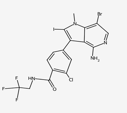 Cn1c(I)c(-c2ccc(C(=O)NCC(F)(F)F)c(Cl)c2)c2c(N)ncc(Br)c21